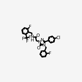 O=C(Cn1nc(-c2ccc(Cl)cc2)n(Cc2ccccc2F)c1=O)NCc1c(F)cccc1C(F)(F)F